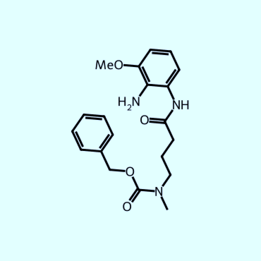 COc1cccc(NC(=O)CCCN(C)C(=O)OCc2ccccc2)c1N